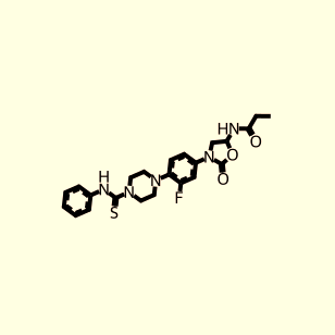 CCC(=O)NC1CN(c2ccc(N3CCN(C(=S)Nc4ccccc4)CC3)c(F)c2)C(=O)O1